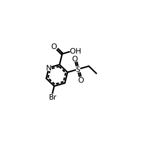 CCS(=O)(=O)c1cc(Br)cnc1C(=O)O